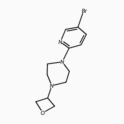 Brc1ccc(N2CCN(C3COC3)CC2)nc1